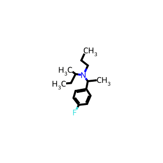 CCCN(C(C)CC)C(C)c1ccc(F)cc1